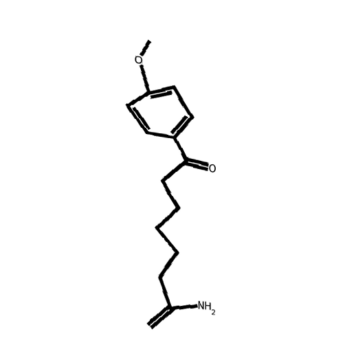 C=C(N)CCCCCC(=O)c1ccc(OC)cc1